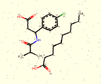 CC(C)C(=O)NC(CC(=O)O)c1ccc(Cl)cc1.CCCCCCCCCC(=O)O